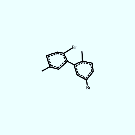 Cc1ccc(Br)c(-c2cc(Br)ccc2C)c1